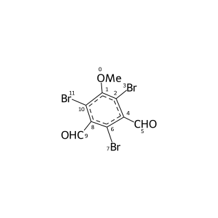 COc1c(Br)c(C=O)c(Br)c(C=O)c1Br